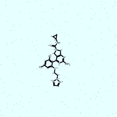 Nc1nc2c(c(-c3c(Cl)cc(Cl)cc3OCCn3nccn3)n1)CN(C(=O)NC1CC1)C2